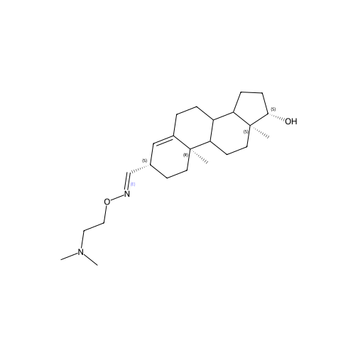 CN(C)CCO/N=C/[C@@H]1C=C2CCC3C(CC[C@@]4(C)C3CC[C@@H]4O)[C@@]2(C)CC1